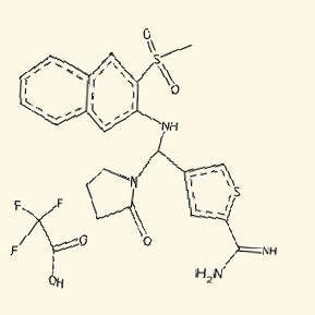 CS(=O)(=O)c1cc2ccccc2cc1NC(c1csc(C(=N)N)c1)N1CCCC1=O.O=C(O)C(F)(F)F